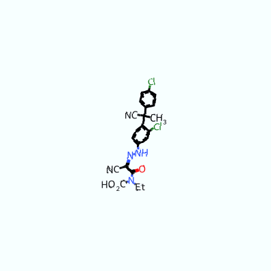 CCN(C(=O)O)C(=O)C(C#N)=NNc1ccc(C(C)(C#N)c2ccc(Cl)cc2)c(Cl)c1